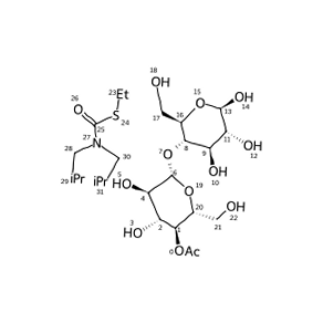 CC(=O)O[C@H]1[C@H](O)[C@@H](O)[C@H](O[C@H]2[C@H](O)[C@@H](O)[C@H](O)O[C@@H]2CO)O[C@@H]1CO.CCSC(=O)N(CC(C)C)CC(C)C